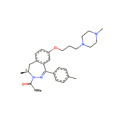 CNC(=O)N1N=C(c2ccc(C)cc2)c2cc(OCCCN3CCN(C)CC3)ccc2C[C@@H]1C